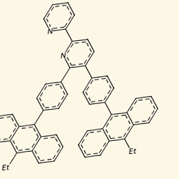 CCc1c2ccccc2c(-c2ccc(-c3ccc(-c4ccccn4)nc3-c3ccc(-c4c5ccccc5c(CC)c5ccccc45)cc3)cc2)c2ccccc12